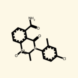 Cc1cc(Cl)ccc1N(C(=O)c1c(C(N)=O)cccc1[N+](=O)[O-])C(C)C